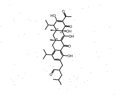 CC(=O)C1=C(O)C(C(C)C)[C@@]2(C)C[C@@]3(C)Cc4c(C(C)C)cc(CC(C=O)CC(C)C)c(O)c4C(=O)C3=C(O)[C@@]2(O)C1=O